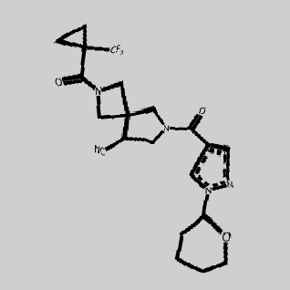 N#CC1CN(C(=O)c2cnn(C3CCCCO3)c2)CC12CN(C(=O)C1(C(F)(F)F)CC1)C2